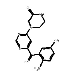 CCCc1ccc(N)c(C(=N)c2cc(N3CCNC(=O)C3)ncn2)c1